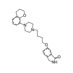 O=C1NCc2ccc(OCCCCN3CCN(c4cccc5c4OCCC5)CC3)cc21